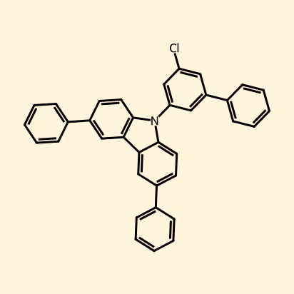 Clc1cc(-c2ccccc2)cc(-n2c3ccc(-c4ccccc4)cc3c3cc(-c4ccccc4)ccc32)c1